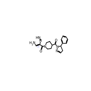 N=N/C(=C\N)C(=O)N1CCC(C(=O)N2N=CCC2c2ccccc2)CC1